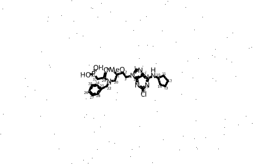 COC(CCn1cnc2c(NC3CCCC3)nc(Cl)nc21)CN(Cc1ccccc1)C(=O)CP(O)O